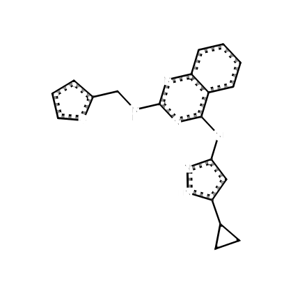 c1coc(CNc2nc(Nc3cc(C4CC4)[nH]n3)c3ccccc3n2)c1